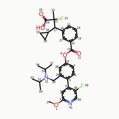 COc1cc(-c2ccc(OC(=O)c3cccc(C(C4CC4)C(C)(F)C(=O)O)c3)cc2CN(C(C)C)C(C)C)c(F)cn1